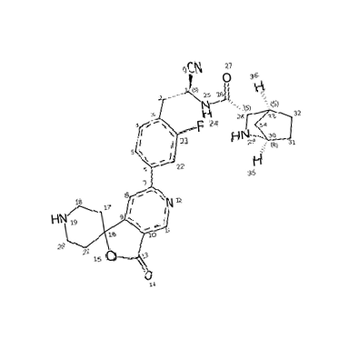 N#C[C@H](Cc1ccc(-c2cc3c(cn2)C(=O)OC32CCNCC2)cc1F)NC(=O)[C@H]1N[C@@H]2CC[C@H]1C2